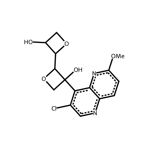 COc1ccc2ncc(Cl)c(C3(O)COC3C3OCC3O)c2n1